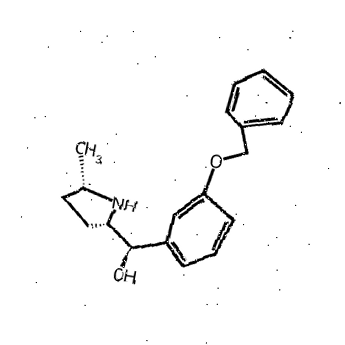 C[C@H]1CC[C@@H]([C@H](O)c2cccc(OCc3ccccc3)c2)N1